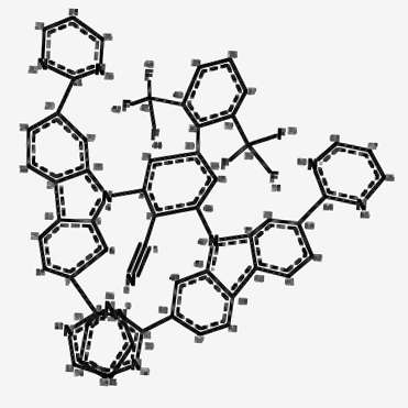 N#Cc1c(-n2c3cc(-c4ncccn4)ccc3c3ccc(-c4ncccn4)cc32)cc(-c2c(C(F)(F)F)cccc2C(F)(F)F)cc1-n1c2cc(-c3ncccn3)ccc2c2ccc(-c3ncccn3)cc21